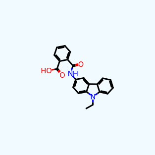 CCn1c2ccccc2c2cc(NC(=O)c3ccccc3C(=O)O)ccc21